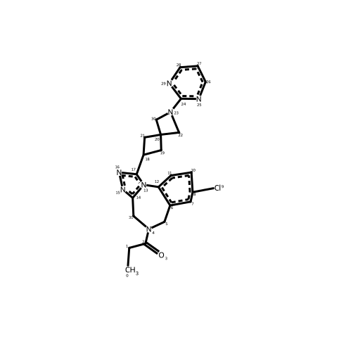 CCC(=O)N1Cc2cc(Cl)ccc2-n2c(nnc2C2CC3(C2)CN(c2ncccn2)C3)C1